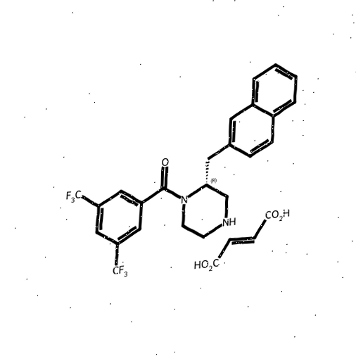 O=C(O)C=CC(=O)O.O=C(c1cc(C(F)(F)F)cc(C(F)(F)F)c1)N1CCNC[C@H]1Cc1ccc2ccccc2c1